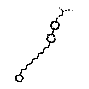 CCCCCC[C@@H](F)COc1ccc(-c2ncc(CCCCCCCCCCC3CCCC3)cn2)cc1